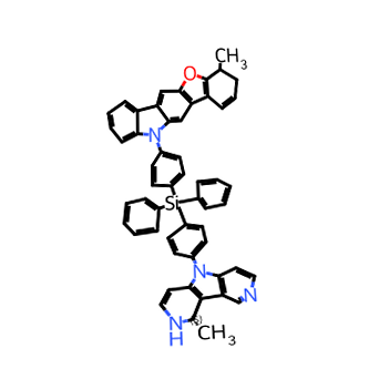 CC1CC=Cc2c1oc1cc3c4ccccc4n(-c4ccc([Si](c5ccccc5)(c5ccccc5)c5ccc(-n6c7c(c8cnccc86)[C@H](C)NC=C7)cc5)cc4)c3cc21